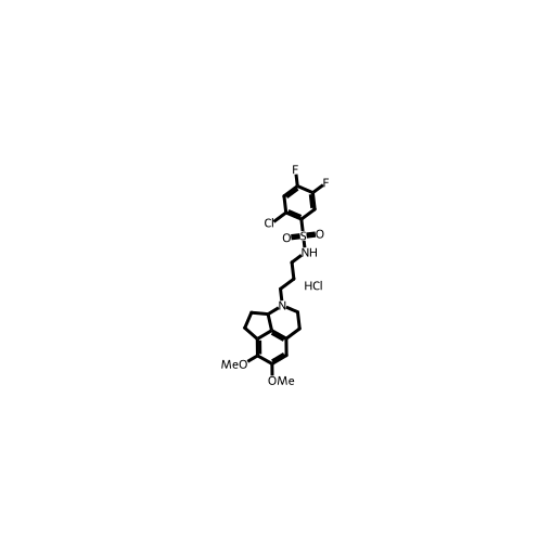 COc1cc2c3c(c1OC)CCC3N(CCCNS(=O)(=O)c1cc(F)c(F)cc1Cl)CC2.Cl